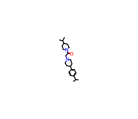 CC(C)c1ccc(C2CCN(CC(=O)N3CCC(C(C)C)CC3)CC2)cc1